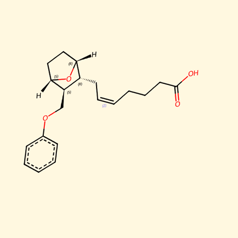 O=C(O)CCC/C=C\C[C@@H]1[C@@H](COc2ccccc2)[C@@H]2CC[C@H]1O2